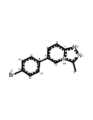 Cc1nnc2ccc(-c3ccc(Br)cc3)cn12